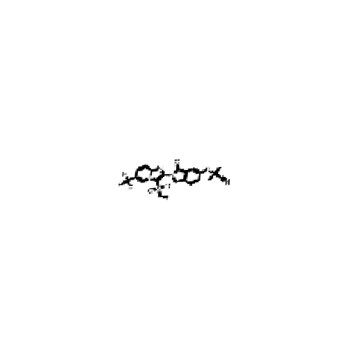 CCS(=O)(=O)c1c(N2Cc3ccc(OC(C)(C)C#N)cc3C2=O)nc2ccc(C(F)(F)F)cn12